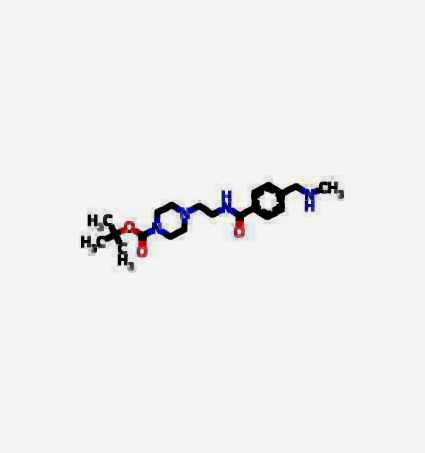 CNCc1ccc(C(=O)NCCN2CCN(C(=O)OC(C)(C)C)CC2)cc1